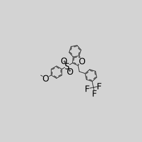 COc1ccc(S(=O)(=O)c2c(Cc3cccc(C(F)(F)F)c3)oc3ccccc23)cc1